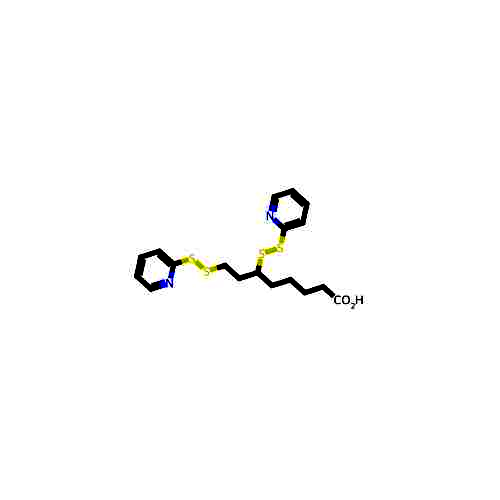 O=C(O)CCCCC(CCSSc1ccccn1)SSc1ccccn1